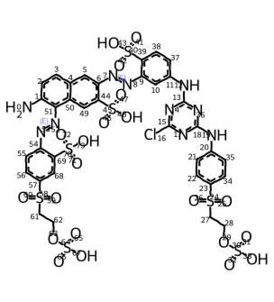 Nc1ccc2cc(/N=N/c3cc(Nc4nc(Cl)nc(Nc5ccc(S(=O)(=O)CCOS(=O)(=O)O)cc5)n4)ccc3S(=O)(=O)O)c(S(=O)(=O)O)cc2c1/N=N/c1ccc(S(=O)(=O)CCOS(=O)(=O)O)cc1S(=O)(=O)O